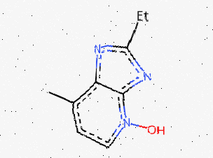 CCc1nc2c(C)ccn(O)c-2n1